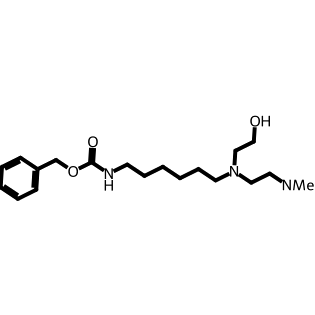 CNCCN(CCO)CCCCCCNC(=O)OCc1ccccc1